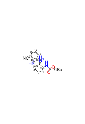 CC(C)(C)OC(=O)N[C@@H]1CCC[C@H](Nc2c(N)cccc2C#N)C1